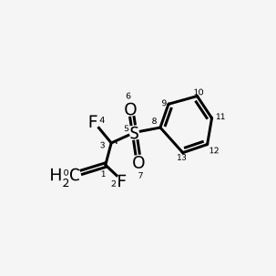 C=C(F)[C](F)S(=O)(=O)c1ccccc1